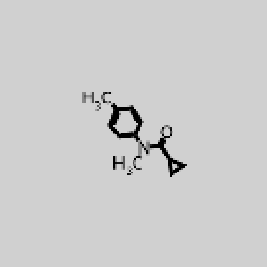 Cc1ccc(N(C)C(=O)C2CC2)cc1